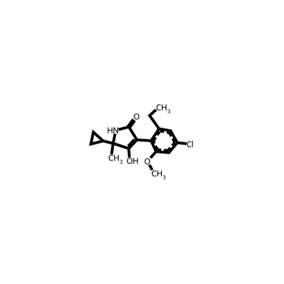 CCc1cc(Cl)cc(OC)c1C1=C(O)C(C)(C2CC2)NC1=O